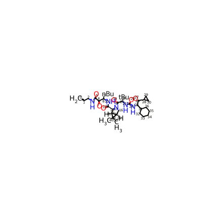 C=CCNC(=O)C(=O)C(CCCC)NC(=O)[C@@H]1[C@@H]2[C@H](CN1C(=O)[C@@H](NC(=O)N[C@H](C(=O)C1CC1)C1CCCCC1)C(C)(C)C)C2(C)C